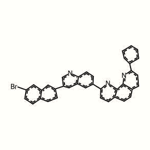 Brc1ccc2ccc(-c3cnc4ccc(-c5ccc6ccc7ccc(-c8ccccc8)nc7c6n5)cc4c3)cc2c1